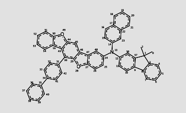 CC1(C)c2ccccc2-c2ccc(N(c3ccc4ccccc4c3)c3ccc4oc5c(-c6ccc(-c7ccccc7)cc6)c6c(cc5c4c3)oc3ccccc36)cc21